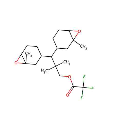 CC(C)(COC(=O)C(F)(F)F)C(C1CCC2OC2(C)C1)C1CCC2OC2(C)C1